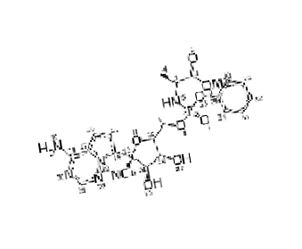 COC(=O)[C@H](C)NP(=O)(OCC1O[C@@](C#N)(c2ccc3c(N)ncnn23)[C@H](O)C1O)Oc1ccccc1